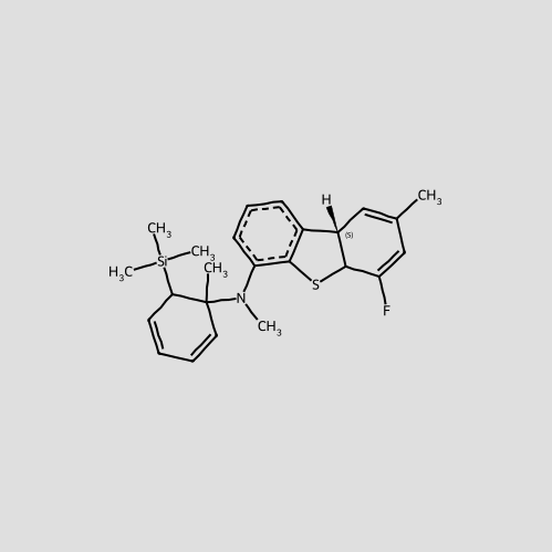 CC1=C[C@H]2c3cccc(N(C)C4(C)C=CC=CC4[Si](C)(C)C)c3SC2C(F)=C1